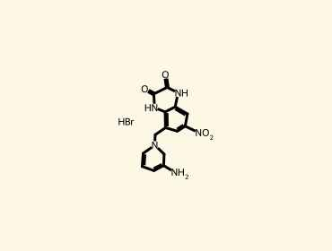 Br.NC1=CC=CN(Cc2cc([N+](=O)[O-])cc3[nH]c(=O)c(=O)[nH]c23)C1